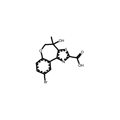 CC1(O)COc2ccc(Br)cc2-c2nc(C(=O)O)sc21